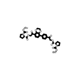 CC(C)(C)OC(=O)N1CCC[C@H]1C(=O)OCC(=O)c1ccc(-c2ccc(C(=O)COC(=O)[C@@H]3CCCN3C(=O)OC(C)(C)C)c3c2OCCO3)cc1